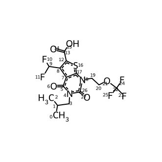 CC(C)Cn1c(=O)c2c(C(F)F)c(C(=O)O)sc2n(CCOC(F)(F)F)c1=O